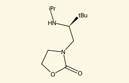 CC(C)N[C@H](CN1CCOC1=O)C(C)(C)C